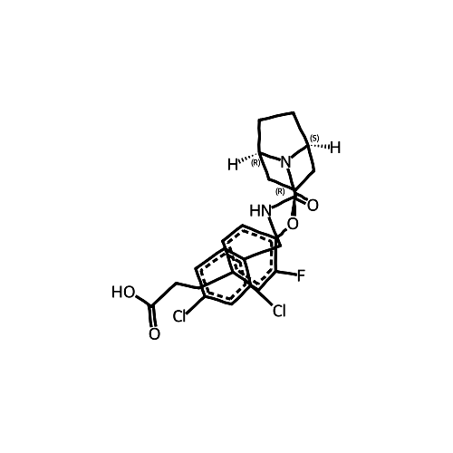 O=C(O)CCc1ccc(O[C@H]2C[C@H]3CC[C@@H](C2)N3C(=O)NCc2ccc(Cl)cc2Cl)c(F)c1